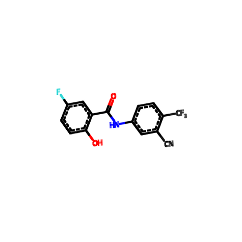 N#Cc1cc(NC(=O)c2cc(F)ccc2O)ccc1C(F)(F)F